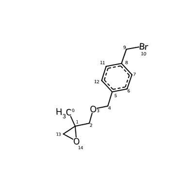 CC1(COCc2ccc(CBr)cc2)CO1